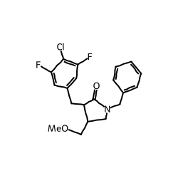 COCC1CN(Cc2ccccc2)C(=O)C1Cc1cc(F)c(Cl)c(F)c1